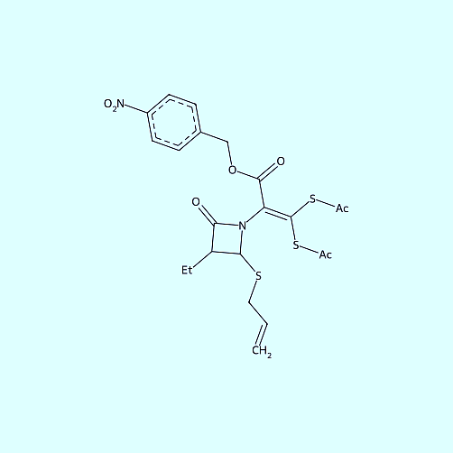 C=CCSC1C(CC)C(=O)N1C(C(=O)OCc1ccc([N+](=O)[O-])cc1)=C(SC(C)=O)SC(C)=O